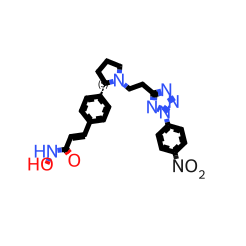 O=C(C=Cc1ccc([C@@H]2CCCN2CCc2nnn(-c3ccc([N+](=O)[O-])cc3)n2)cc1)NO